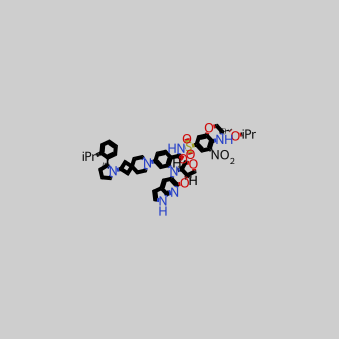 CC(C)OC[C@H]1COc2cc(S(=O)(=O)NC(=O)c3ccc(N4CCC5(CC4)CC(N4CCC[C@H]4c4ccccc4C(C)C)C5)cc3N3c4cc5cc[nH]c5nc4O[C@H]4COC[C@@H]43)cc([N+](=O)[O-])c2N1